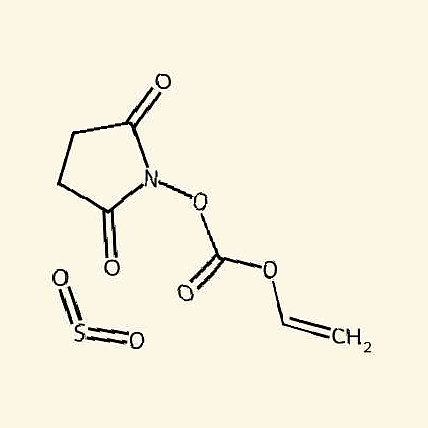 C=COC(=O)ON1C(=O)CCC1=O.O=S=O